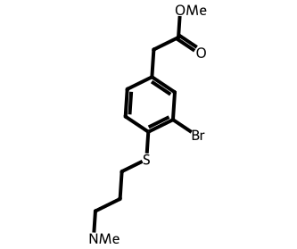 CNCCCSc1ccc(CC(=O)OC)cc1Br